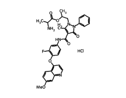 COc1ccc2c(Oc3ccc(NC(=O)c4c(C)n(CC(C)OC(=O)C(C)N)n(-c5ccccc5)c4=O)cc3F)ccnc2c1.Cl